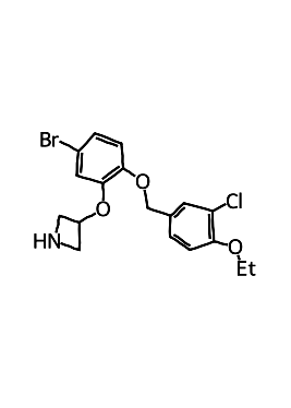 CCOc1ccc(COc2ccc(Br)cc2OC2CNC2)cc1Cl